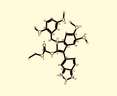 CCOC(=O)Oc1c(-c2ccc3nsnc3c2)c2cc(OC)c(OC)cc2n1Cc1cc(OC)ccc1OC